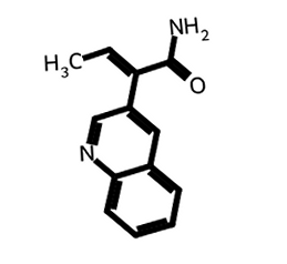 C/C=C(/C(N)=O)c1cnc2ccccc2c1